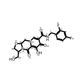 O=C(NCc1ccc(F)cc1F)c1cn2c(c(O)c1=O)C(=O)N1C(CO)COC1C2